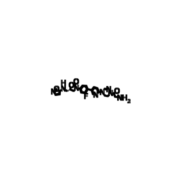 NCC(=O)N1CCN(c2ccc(-c3ccc(N4C[C@H](CNc5ccno5)OC4=O)cc3F)cn2)C=N1